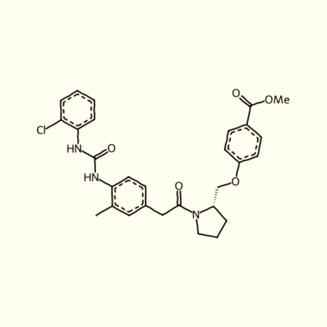 COC(=O)c1ccc(OC[C@@H]2CCCN2C(=O)Cc2ccc(NC(=O)Nc3ccccc3Cl)c(C)c2)cc1